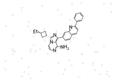 CC[C@H]1C[C@H](c2nc(-c3ccc4ccc(-c5ccccc5)nc4c3)c3c(N)nccn32)C1